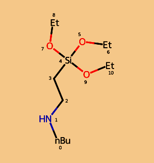 CCCCNCC[Si](OCC)(OCC)OCC